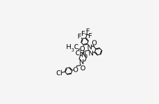 CC(C)Oc1cc(F)c(C(F)(F)F)cc1-n1c(CN2CCN(C(=O)COc3ccc(Cl)cc3)CC2)nc2ccccc2c1=O